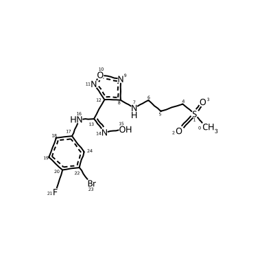 CS(=O)(=O)CCCNc1nonc1C(=NO)Nc1ccc(F)c(Br)c1